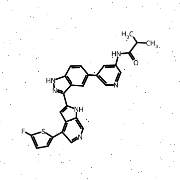 CC(C)C(=O)Nc1cncc(-c2ccc3[nH]nc(-c4cc5c(-c6ccc(F)s6)cncc5[nH]4)c3c2)c1